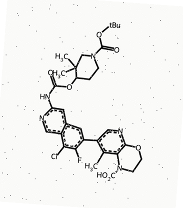 Cc1c(-c2cc3cc(NC(=O)OC4CCN(C(=O)OC(C)(C)C)CC4(C)C)ncc3c(Cl)c2F)cnc2c1N(C(=O)O)CCO2